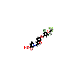 C[C@H](Oc1c(Cl)cc(COc2ccc3c(c2)OCC(CN2CCC=C(C(=O)O)C2)=C3)cc1Cl)C(F)(F)F